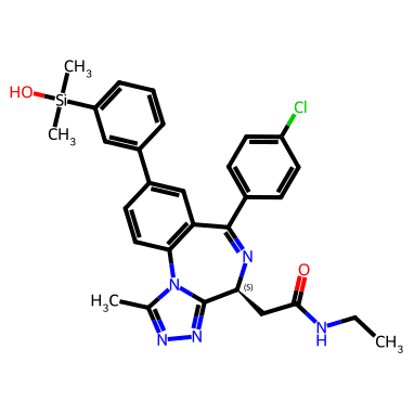 CCNC(=O)C[C@@H]1N=C(c2ccc(Cl)cc2)c2cc(-c3cccc([Si](C)(C)O)c3)ccc2-n2c(C)nnc21